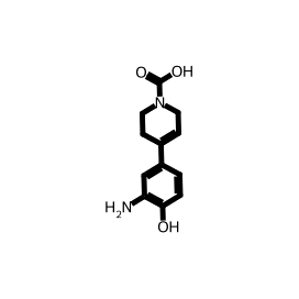 Nc1cc(C2=CCN(C(=O)O)CC2)ccc1O